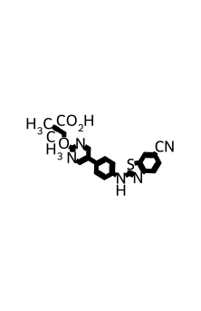 CC(C)(COc1ncc(-c2ccc(Nc3nc4ccc(C#N)cc4s3)cc2)cn1)C(=O)O